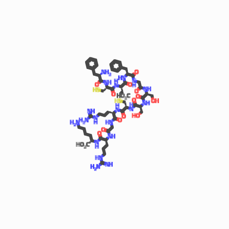 N=C(N)NCCC[C@H](NC(=O)CNC(=O)[C@H](CCCNC(=N)N)NC(=O)[C@H](CS)NC(=O)[C@H](CO)NC(=O)[C@H](CO)NC(=O)CNC(=O)[C@H](Cc1ccccc1)NC(=O)[C@H](CC(=O)O)NC(=O)[C@H](CS)NC(=O)[C@@H](N)Cc1ccccc1)C(=O)N[C@@H](CCCCN)C(=O)O